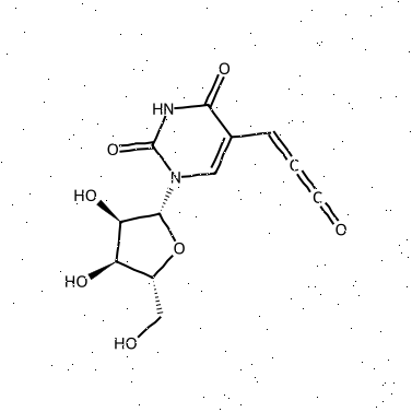 O=C=C=Cc1cn([C@@H]2O[C@H](CO)[C@@H](O)[C@H]2O)c(=O)[nH]c1=O